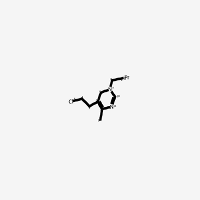 CC1=C(CCCl)CN(CC(C)C)C=N1